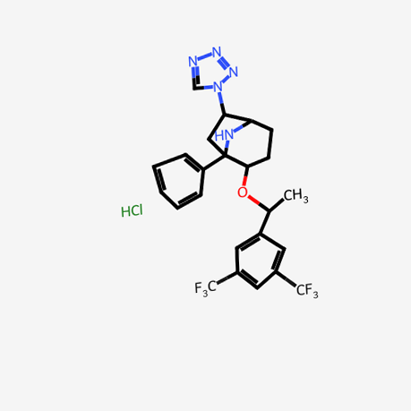 CC(OC1CCC2NC1(c1ccccc1)CC2n1cnnn1)c1cc(C(F)(F)F)cc(C(F)(F)F)c1.Cl